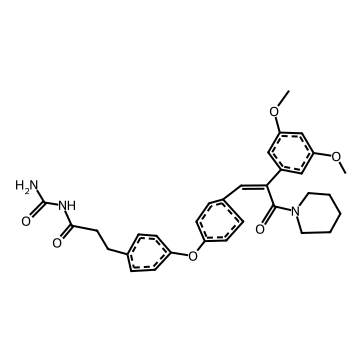 COc1cc(OC)cc(C(=Cc2ccc(Oc3ccc(CCC(=O)NC(N)=O)cc3)cc2)C(=O)N2CCCCC2)c1